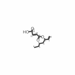 C=CC(CCCC)OC(=O)C=CC(=O)O